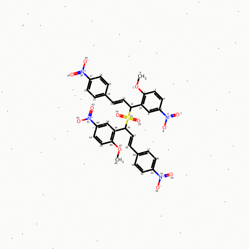 COc1ccc([N+](=O)[O-])cc1C(C=Cc1ccc([N+](=O)[O-])cc1)S(=O)(=O)C(C=Cc1ccc([N+](=O)[O-])cc1)c1cc([N+](=O)[O-])ccc1OC